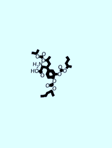 CCCC(C)OC(=O)Oc1ccc(C(CC(C)OC(=O)OC(C)C)[C@H](N)C(=O)O)cc1OC(=O)OC(C)CCC